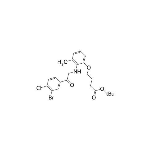 Cc1cccc(OCCCC(=O)OC(C)(C)C)c1NCC(=O)c1ccc(Cl)c(Br)c1